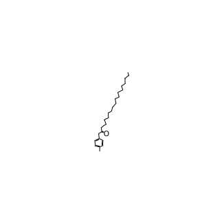 CCCCCCCCCCCCCCCCCC(=O)Cc1ccc(C)cc1